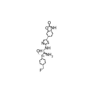 N[C@H](CNc1ncc(-c2ccc3[nH]c(=O)oc3c2)s1)[C@@H](CO)c1ccc(CF)cc1